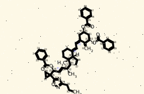 C=C1/C(=C\C=C2/CCC[C@]3(C)[C@@H]([C@H](C)/C=C/[C@H](OC(=O)c4ccccc4)C4(c5nc(CCC)no5)CC4)CC[C@@H]23)C[C@@H](OC(=O)c2ccccc2)C[C@@H]1OC(=O)c1ccccc1